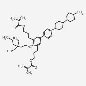 C=C(C)C(=O)OCCCc1cc(-c2ccc(C3CCC(C4CCC(C)CC4)CC3)cc2)cc(CCCOC(=O)C(=C)C)c1OCCC(CO)(CO)CCC